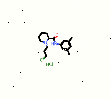 Cc1cc(C)cc(NC(=O)[C@@H]2CCCCN2CCCCl)c1.Cl